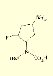 CC(C)(C)N(C(=O)O)C1CC(N)CC1F